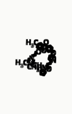 Cc1cc(OCCCN2C[C@@H](C)N(C)[C@@H](C)C2)c2oc3cc(Oc4ccc(CCC(=O)NC5CCCC5)nc4)ccc3c(=O)c2c1